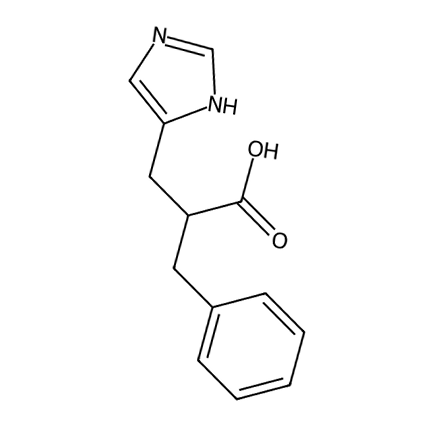 O=C(O)C(Cc1ccccc1)Cc1cnc[nH]1